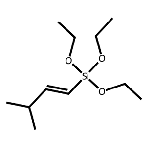 CCO[Si](/C=C/C(C)C)(OCC)OCC